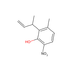 C=CC(C)c1c(C)ccc([N+](=O)[O-])c1O